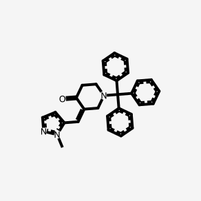 Cn1nccc1/C=C1/CN(C(c2ccccc2)(c2ccccc2)c2ccccc2)CCC1=O